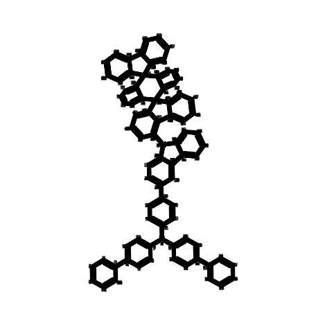 c1ccc(-c2ccc(N(c3ccc(-c4ccccc4)cc3)c3ccc(-c4ccc5c(c4)c4ccccc4n5-c4cccc5c4-c4ccccc4C54c5ccccc5C5(c6ccccc6-c6ccccc65)c5ccccc54)cc3)cc2)cc1